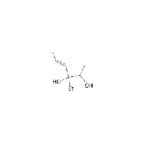 [CH2]C=CC(O)(CC)C(C)O